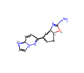 NC1=NC2=CC(c3ccc4nccn4n3)=CCC2O1